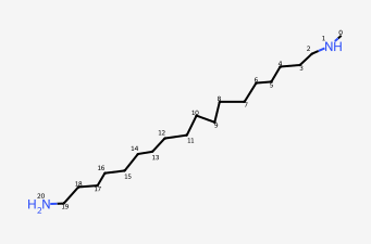 CNCCCCCCCCCCCCCCCCCCN